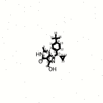 Cc1nc2c(c(CO)nn2[C@H](c2ccc(C(C)(C)C)cc2)C2CC2)c(=O)[nH]1